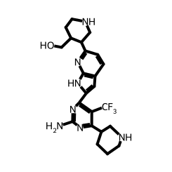 Nc1nc(-c2cc3ccc(C4CNCCC4CO)nc3[nH]2)c(C(F)(F)F)c(C2CCCNC2)n1